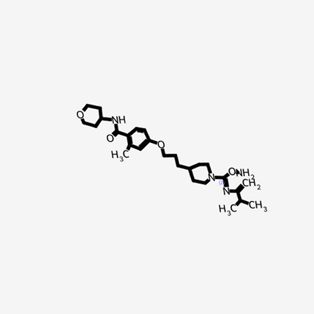 C=C(/N=C(\ON)N1CCC(CCCOc2ccc(C(=O)NC3CCOCC3)c(C)c2)CC1)C(C)C